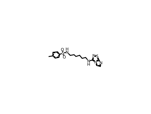 Cc1ccc(S(=O)(=O)NCCCCCCNc2nsc3nccn23)cc1